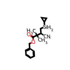 CC(C)(C(=O)OCc1ccccc1)C(C#N)C[SiH2]C1CC1